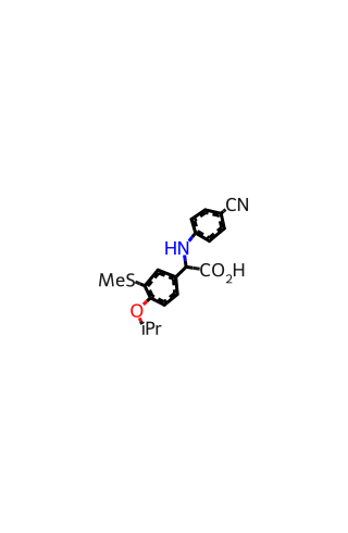 CSc1cc(C(Nc2ccc(C#N)cc2)C(=O)O)ccc1OC(C)C